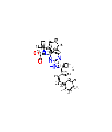 C[C@H](Nc1nccc(N2C(=O)OC[C@]2(C)c2ccccc2)n1)c1ccc2ccccc2c1